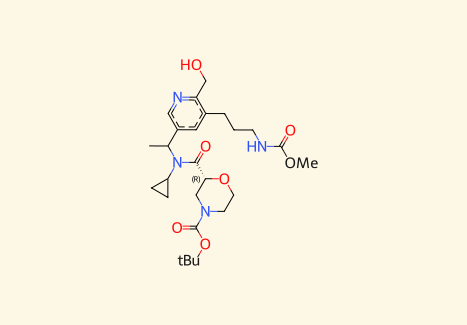 COC(=O)NCCCc1cc(C(C)N(C(=O)[C@H]2CN(C(=O)OC(C)(C)C)CCO2)C2CC2)cnc1CO